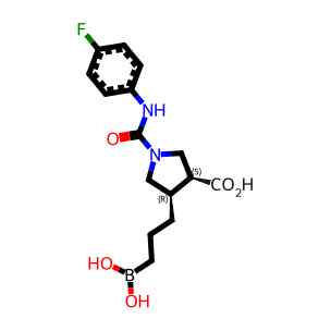 O=C(O)[C@@H]1CN(C(=O)Nc2ccc(F)cc2)C[C@@H]1CCCB(O)O